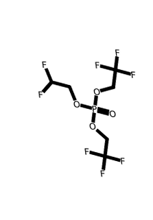 O=P(OCC(F)F)(OCC(F)(F)F)OCC(F)(F)F